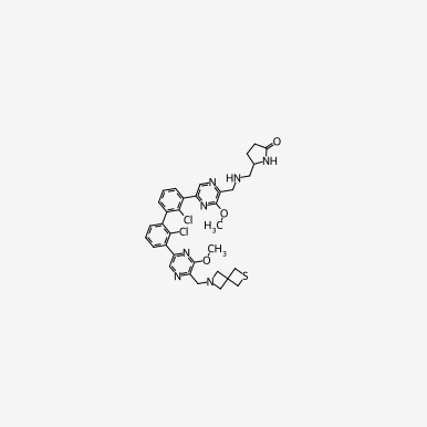 COc1nc(-c2cccc(-c3cccc(-c4cnc(CN5CC6(CSC6)C5)c(OC)n4)c3Cl)c2Cl)cnc1CNCC1CCC(=O)N1